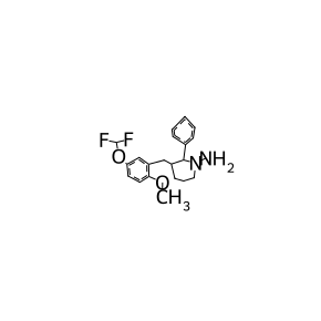 COc1ccc(OC(F)F)cc1CC1CCCN(N)C1c1ccccc1